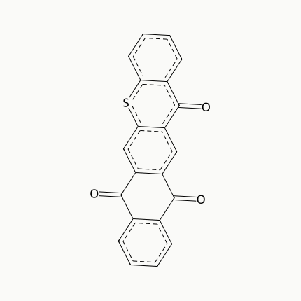 O=C1c2ccccc2C(=O)c2cc3c(=O)c4ccccc4sc3cc21